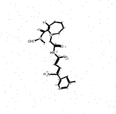 CCC1=C(C(=O)N(C)C=O)N(CC(=O)N/C(N)=C/C=C(\N)c2cncc(C)c2)CCCC1